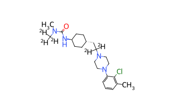 [2H]C([2H])([2H])N(C)C(=O)N[C@H]1CC[C@H](CC([2H])([2H])N2CCN(c3cccc(C)c3Cl)CC2)CC1